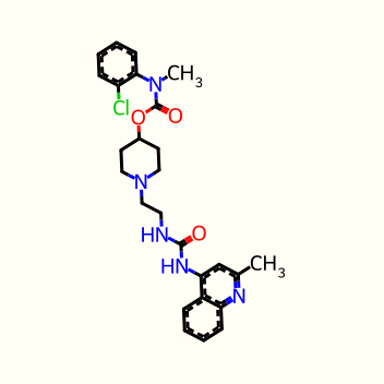 Cc1cc(NC(=O)NCCN2CCC(OC(=O)N(C)c3ccccc3Cl)CC2)c2ccccc2n1